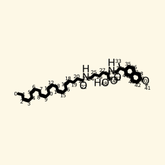 CC/C=C\C/C=C\C/C=C\C/C=C\C/C=C\C/C=C\CCC(=O)NCCCCC(NC(=O)[C@@H](C)c1ccc2cc(OC)ccc2c1)C(=O)O